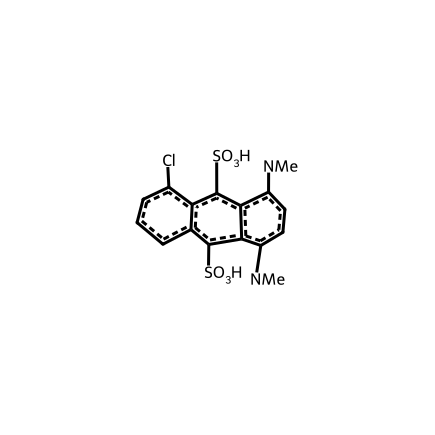 CNc1ccc(NC)c2c(S(=O)(=O)O)c3c(Cl)cccc3c(S(=O)(=O)O)c12